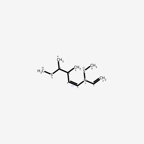 C=CN(/C=C\C(C)C(C)SC)SC